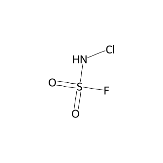 O=S(=O)(F)NCl